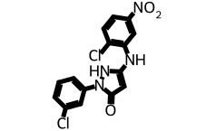 O=c1cc(Nc2cc([N+](=O)[O-])ccc2Cl)[nH]n1-c1cccc(Cl)c1